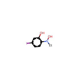 CCN(O)c1ccc(I)cc1O